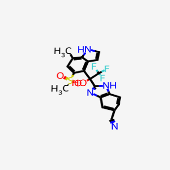 Cc1cc(S(C)(=O)=O)c(C(O)(c2nc3cc(C#N)ccc3[nH]2)C(F)(F)F)c2cc[nH]c12